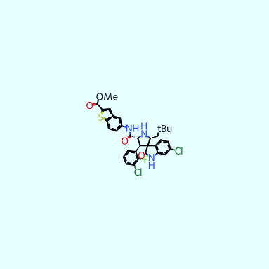 COC(=O)c1cc2cc(NC(=O)[C@@H]3N[C@@H](CC(C)(C)C)C4(C(=O)Nc5cc(Cl)ccc54)[C@H]3c3cccc(Cl)c3F)ccc2s1